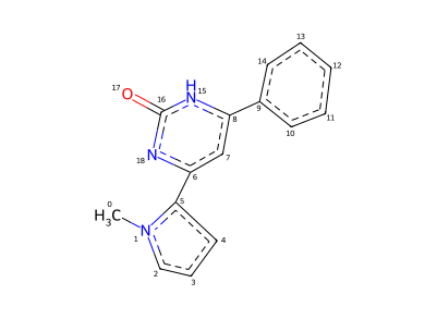 Cn1cccc1-c1cc(-c2ccccc2)[nH]c(=O)n1